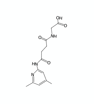 Cc1cc(C)nc(NC(=O)CCC(=O)NCC(=O)O)c1